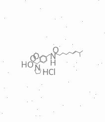 COc1cc(CNC(=O)CCCCC=CC(C)C)ccc1C(C(=O)O)N1CCCC1.Cl